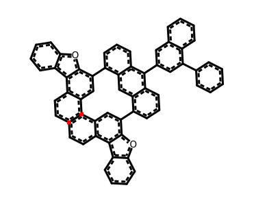 c1ccc(-c2cc(-c3c4cccc(-c5cc6ccccc6c6c5oc5ccccc56)c4cc4c(-c5cc6ccccc6c6c5oc5ccccc56)cccc34)cc3ccccc23)cc1